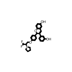 Oc1cccc(C2=Cc3cc(O)ccc3OC2c2ccc(OCC(C(F)F)N3CCCC3)cc2)c1